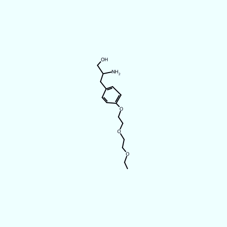 CCOCCOCCOc1ccc(CC(N)CO)cc1